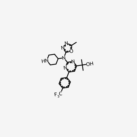 Cc1nnc(N(c2nc(-c3ccc(C(F)(F)F)cc3)cc(C(C)(C)O)n2)C2CCNCC2)o1